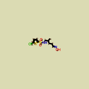 CC(CCC=NO)CNS(=O)(=O)c1ccc(Cl)s1